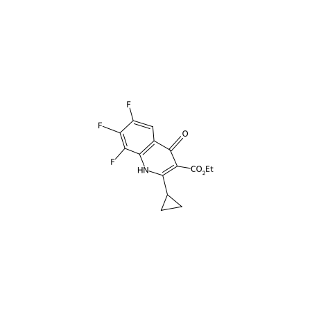 CCOC(=O)c1c(C2CC2)[nH]c2c(F)c(F)c(F)cc2c1=O